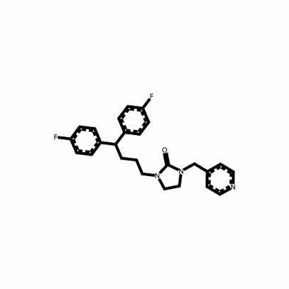 O=C1N(CCCC(c2ccc(F)cc2)c2ccc(F)cc2)CCN1Cc1ccncc1